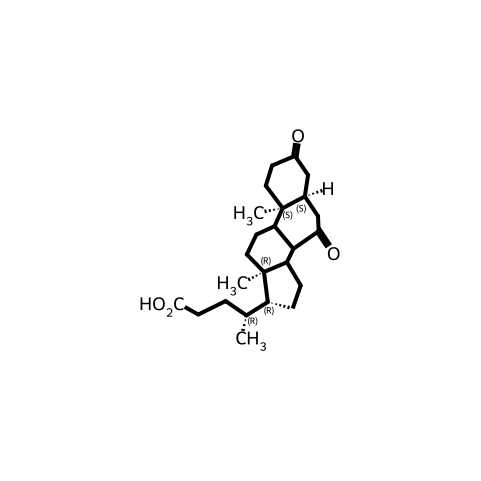 C[C@H](CCC(=O)O)[C@H]1CCC2C3C(=O)C[C@@H]4CC(=O)CC[C@]4(C)C3CC[C@@]21C